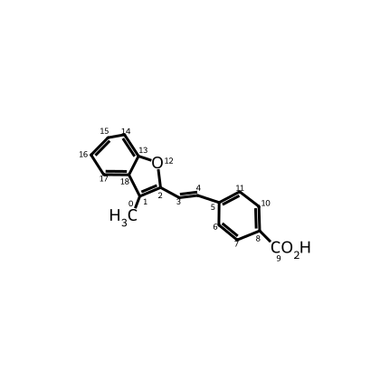 Cc1c(/C=C/c2ccc(C(=O)O)cc2)oc2ccccc12